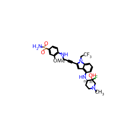 COc1cc(S(N)(=O)=O)ccc1NCC#Cc1cc2c(N[C@H]3CCN(C)C[C@@]3(O)F)cccc2n1CC(F)(F)F